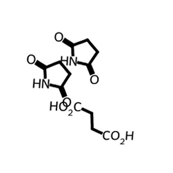 O=C(O)CCC(=O)O.O=C1CCC(=O)N1.O=C1CCC(=O)N1